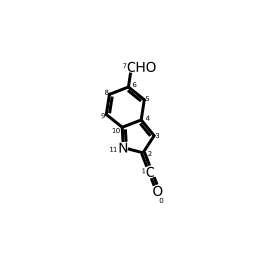 O=C=C1C=c2cc(C=O)ccc2=N1